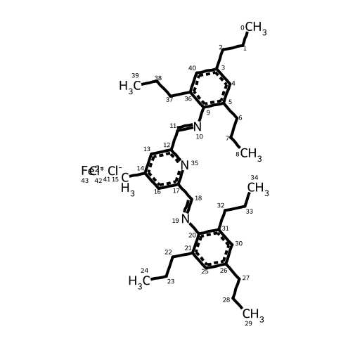 CCCc1cc(CCC)c(N=Cc2cc(C)cc(C=Nc3c(CCC)cc(CCC)cc3CCC)n2)c(CCC)c1.[Cl-].[Cl-].[Fe+2]